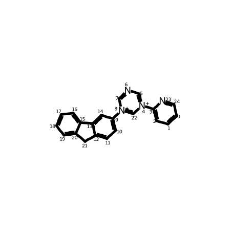 c1ccc(-[n+]2cnc[n+](-c3ccc4c(c3)-c3ccccc3C4)c2)nc1